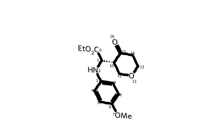 CCOC(=O)C(Nc1ccc(OC)cc1)[C@H]1COCCC1=O